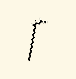 CCCCCCCCCCCCCCCC(=O)[C@H](C)CC(=O)O